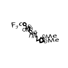 COc1ccc(CCNC(=S)N2CC3CC2[C@@H]2C(=O)N(c4cccc(C(F)(F)F)c4)C(=O)N32)cc1OC